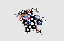 COc1ccc2c(c1)C=C(c1c(C(=O)N3C[C@@H](C)O[C@@H](C)C3)cnn1-c1ccncc1C)Cn1c-2c(C2CCCCC2)c2ccc(C(=O)NS(=O)(=O)C(C)C)cc21